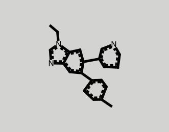 CCn1cnc2cc(-c3ccc(C)cc3)c(-c3cccnc3)cc21